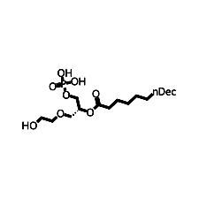 CCCCCCCCCCCCCCCC(=O)O[C@H](COCCO)COP(=O)(O)O